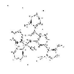 Cc1noc(C)c1-c1cnc2c(-c3ccccc3Cl)cn(C(C)(c3ccccn3)c3ccccn3)c2c1